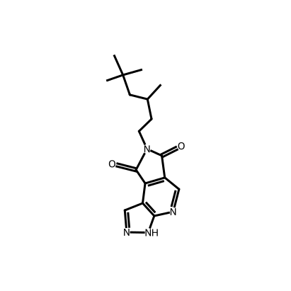 CC(CCN1C(=O)c2cnc3[nH]ncc3c2C1=O)CC(C)(C)C